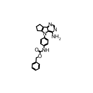 Nc1ncnc2c3c(n(-c4ccc(NC(=O)OCc5ccccc5)cc4)c12)CCC3